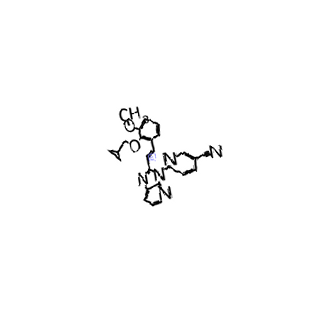 COc1cccc(/C=C/c2nc3cccnc3n2-c2ccc(C#N)cn2)c1OCC1CC1